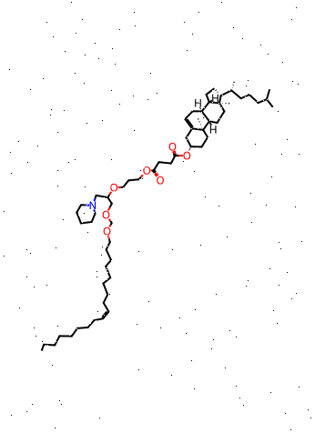 CCCCCCCC/C=C\CCCCCCCCOCOCC(CN1CCCCC1)OCCCOC(=O)CCC(=O)O[C@H]1CC[C@@]2(C)C(=CC[C@H]3[C@@H]4CC[C@H]([C@H](C)CCCC(C)C)[C@@]4(C)CC[C@@H]32)C1